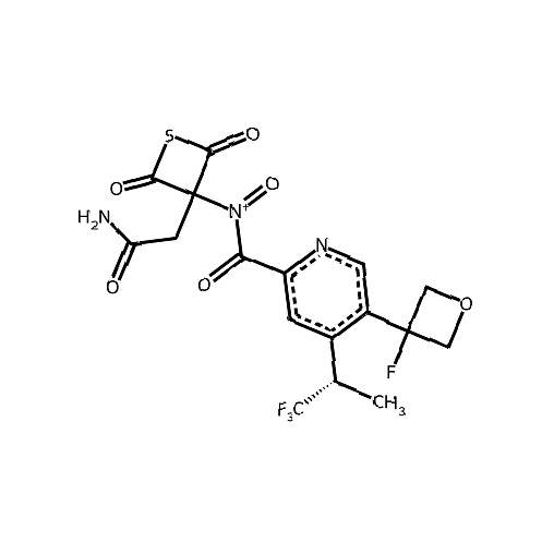 C[C@@H](c1cc(C(=O)[N+](=O)C2(CC(N)=O)C(=O)SC2=O)ncc1C1(F)COC1)C(F)(F)F